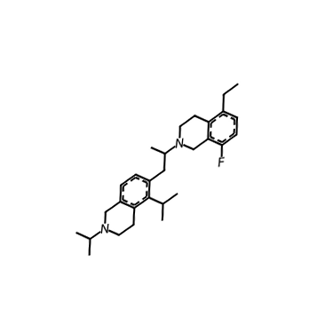 CCc1ccc(F)c2c1CCN(C(C)Cc1ccc3c(c1C(C)C)CCN(C(C)C)C3)C2